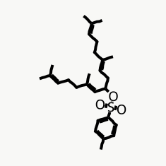 CC(C)=CCC/C(C)=C/CC(/C=C(\C)CCC=C(C)C)OS(=O)(=O)c1ccc(C)cc1